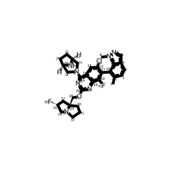 Cc1ccc2cnn(C)c2c1-c1c(Cl)cc2c(N3C[C@H]4CC[C@@H](C3)N4)nc(OC[C@@]34CCCN3C[C@H](F)C4)nc2c1F